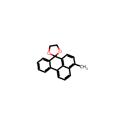 Cc1ccc2c3c(cccc13)-c1ccccc1C21OCCO1